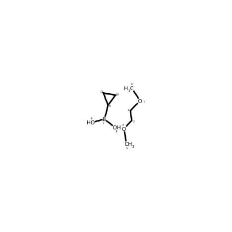 COCCOC.OB(O)C1CC1